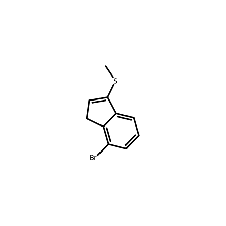 CSC1=CCc2c(Br)cccc21